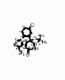 [2H]C([2H])([2H])OC1(c2cc(Cl)ccc2-n2cc(C(F)(F)F)nn2)C=CC(=O)NC1